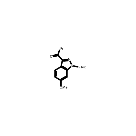 CCCCCCn1nc(C(=O)C(C)C)c2ccc(OC)cc21